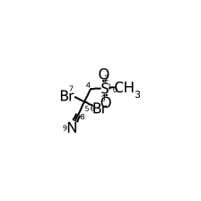 CS(=O)(=O)CC(Br)(Br)C#N